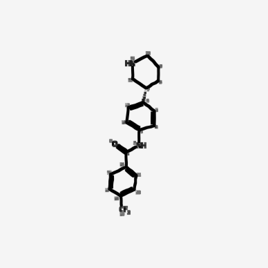 O=C(Nc1ccc([C@H]2CCCNC2)cc1)c1ccc(C(F)(F)F)cc1